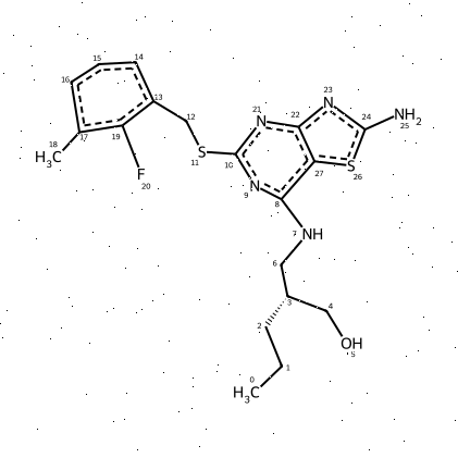 CCC[C@@H](CO)CNc1nc(SCc2cccc(C)c2F)nc2nc(N)sc12